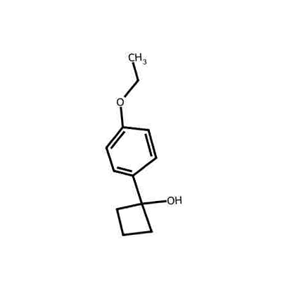 CCOc1ccc(C2(O)CCC2)cc1